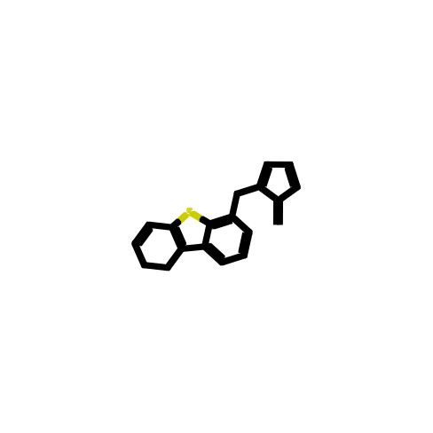 C=C1C=CC=C1Cc1cccc2c3c(sc12)C=CCC3